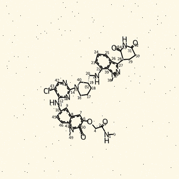 CNC(=O)COc1cc2cc(Nc3nc(N4CCC[C@@H](CNc5cccc6c(C7CCC(=O)NC7=O)nn(C)c56)C4)ncc3Cl)ccc2n(C)c1=O